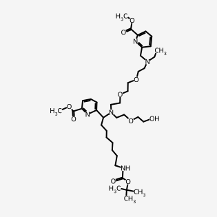 CCN(CCOCCOCCN(CCOCCO)C(CCCCCCCNC(=O)OC(C)(C)C)c1cccc(C(=O)OC)n1)Cc1cccc(C(=O)OC)n1